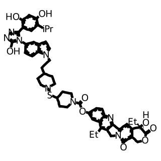 CCc1c2c(nc3ccc(OC(=O)N4CCC(SN5CCC(CCn6ccc7cc(-n8c(O)nnc8-c8cc(C(C)C)c(O)cc8O)ccc76)CC5)CC4)cc13)-c1cc3c(c(=O)n1C2)COC(=O)[C@]3(O)CC